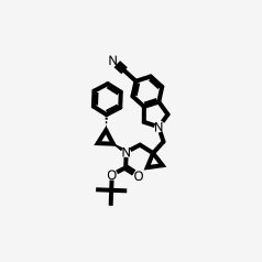 CC(C)(C)OC(=O)N(CC1(CN2Cc3ccc(C#N)cc3C2)CC1)[C@H]1C[C@@H]1c1ccccc1